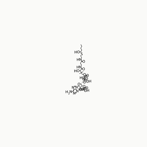 CCCCC(O)SCCNC(=O)CCNC(=O)[C@H](O)C(C)(C)COP(=O)(O)OP(=O)(O)OC[C@H]1O[C@@H](n2cnc3c(N)ncnc32)[C@H](O)[C@@H]1OP(=O)(O)O